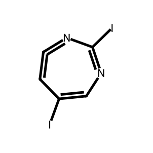 IC1=CN=C(I)N=C=C1